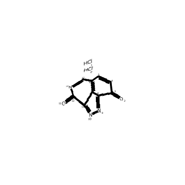 Cl.Cl.O=C1C=CC2=C3C1=NN=C3C(=O)N=C2